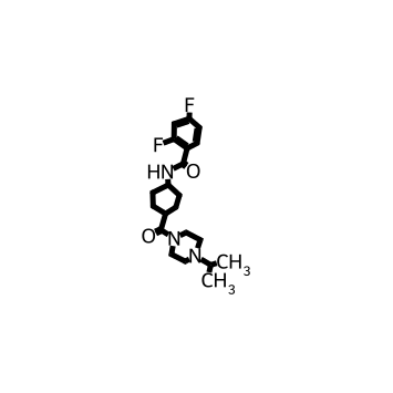 CC(C)N1CCN(C(=O)C2CCC(NC(=O)c3ccc(F)cc3F)CC2)CC1